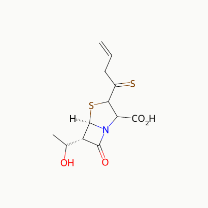 C=CCC(=S)C1S[C@@H]2[C@@H](C(C)O)C(=O)N2C1C(=O)O